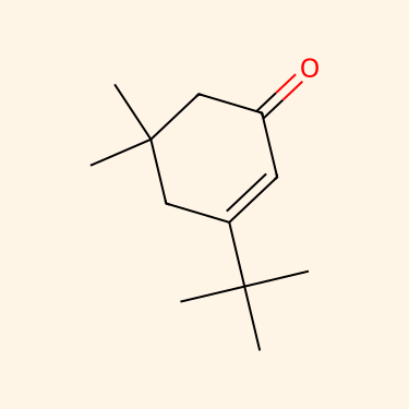 CC1(C)CC(=O)C=C(C(C)(C)C)C1